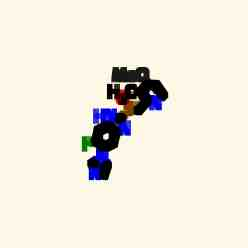 COc1ccnc(C[S+]([O-])c2nc3cc(-n4ccnc4)c(F)cc3[nH]2)c1C